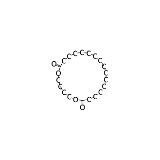 O=C1CCCCCCCCCCCCCCC(=O)OCCCCO1